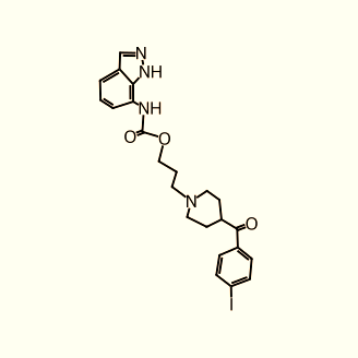 O=C(Nc1cccc2cn[nH]c12)OCCCN1CCC(C(=O)c2ccc(I)cc2)CC1